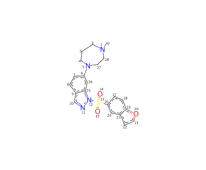 CN1CCCN(c2ccc3cnn(S(=O)(=O)c4ccc5occc5c4)c3c2)CC1